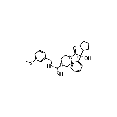 CSc1cccc(CNC(=N)N2CCN(C(=O)[C@](O)(c3ccccc3)C3CCCC3)CC2)c1